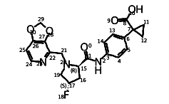 O=C(Nc1ccc(C2(C(=O)O)CC2)cc1)[C@H]1C[C@H](F)CN1Cc1nccc2c1OCO2